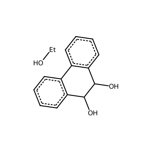 CCO.OC1c2ccccc2-c2ccccc2C1O